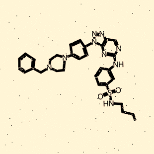 CCCCNS(=O)(=O)c1cccc(Nc2ncc3nnn(-c4ccc(N5CCN(Cc6ccccc6)CC5)cc4)c3n2)c1